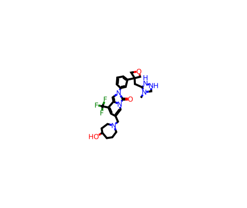 CN1CNNC1CC1(c2cccc(-n3cc4c(C(F)(F)F)cc(CN5CCCC(O)CC5)cn4c3=O)c2)COC1